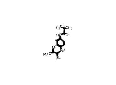 C=C(C)C(=O)Nc1ccc(NC(C(C)=O)C(=O)OC)cc1